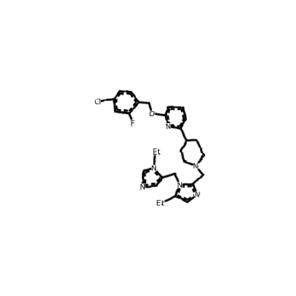 CCc1cnc(CN2CCC(c3cccc(OCc4ccc(Cl)cc4F)n3)CC2)n1Cc1cncn1CC